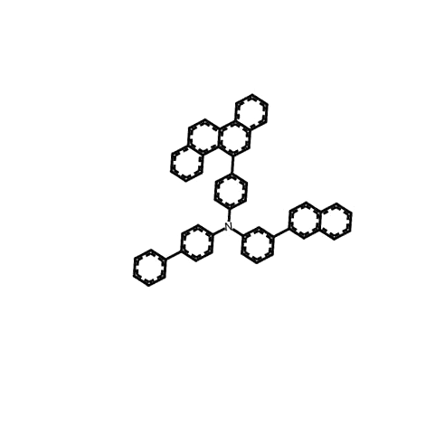 c1ccc(-c2ccc(N(c3ccc(-c4cc5ccccc5c5ccc6ccccc6c45)cc3)c3cccc(-c4ccc5ccccc5c4)c3)cc2)cc1